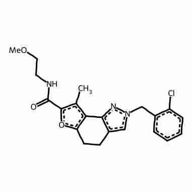 COCCNC(=O)c1oc2c(c1C)-c1nn(Cc3ccccc3Cl)cc1CC2